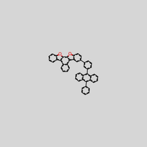 c1ccc(-c2c3ccccc3c(-c3cccc(-c4ccc5oc6c7oc8ccccc8c7c7ccccc7c6c5c4)c3)c3ccccc23)cc1